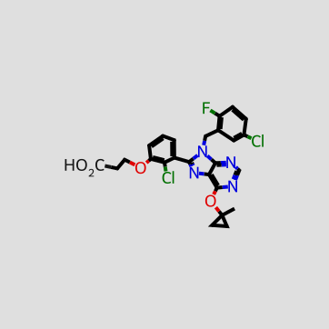 CC1(Oc2ncnc3c2nc(-c2cccc(OCCC(=O)O)c2Cl)n3Cc2cc(Cl)ccc2F)CC1